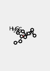 C=Cc1cccc(-c2cccc(-c3cccc(-c4ccccc4)c3)c2)c1-c1cc(-n2c3ccccc3c3cc4c(cc32)c2ccccc2n4-c2ccccc2)ccc1C